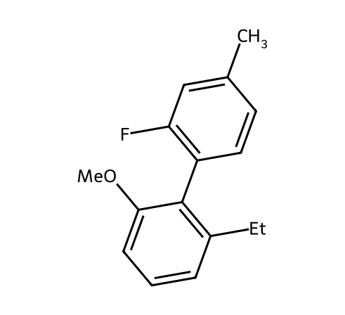 CCc1cccc(OC)c1-c1ccc(C)cc1F